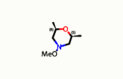 CON1C[C@@H](C)O[C@@H](C)C1